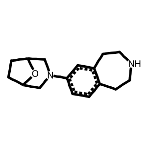 c1cc2c(cc1N1CC3CCC(C1)O3)CCNCC2